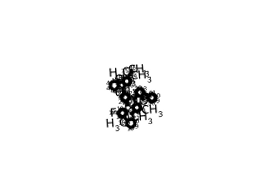 Cc1cc2c3c(c1)N1c4c(cc(F)cc4C4(C)CCCCC14C)B3c1ccc(N3c4ccc(C(C)(C)C)cc4C4(C)CCCCC34C)cc1N2c1cccc2c1oc1ccccc12